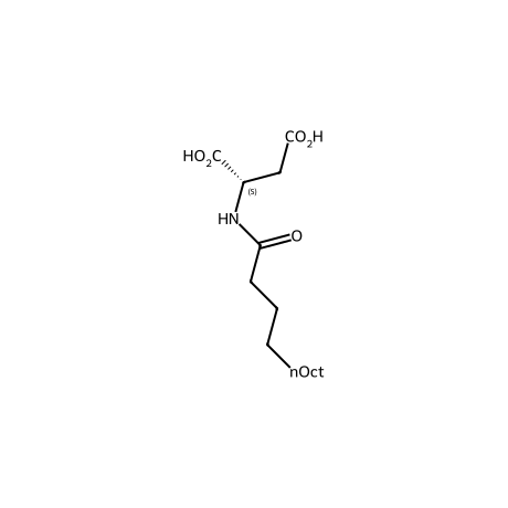 CCCCCCCCCCCC(=O)N[C@@H](CC(=O)O)C(=O)O